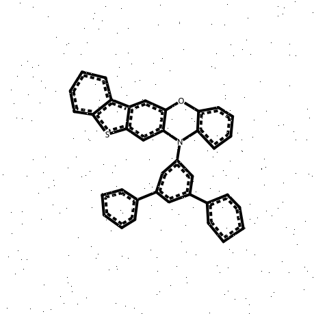 c1ccc(-c2cc(-c3ccccc3)cc(N3c4ccccc4Oc4cc5c(cc43)sc3ccccc35)c2)cc1